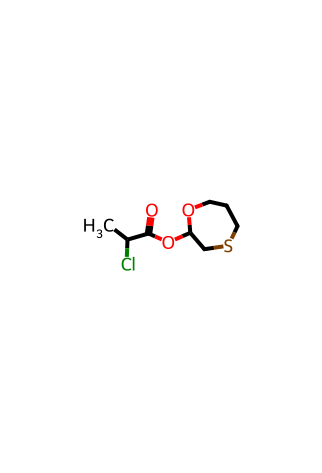 CC(Cl)C(=O)OC1CSCCCO1